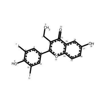 CCc1c(-c2cc(I)c(O)c(I)c2)oc2ccc(O)cc2c1=O